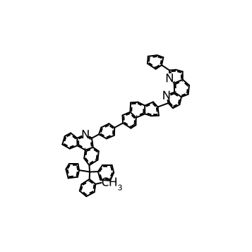 Cc1ccccc1C(c1ccccc1)(c1ccccc1)c1ccc2c(-c3ccc(-c4ccc5c(ccc6cc(-c7ccc8ccc9ccc(-c%10ccccc%10)nc9c8n7)ccc65)c4)cc3)nc3ccccc3c2c1